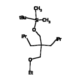 CCOCC(CO[Si](C)(C)C(C)(C)C)(CC(C)C)CC(C)C